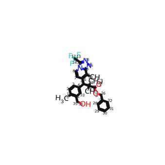 Cc1ccc(C(c2ccn3c(C(F)(F)F)nnc3c2C)C(C)(C)C(=O)OCc2ccccc2)cc1CO